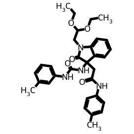 CCOC(CN1C(=O)C(CC(=O)Nc2ccc(C)cc2)(NC(=O)Nc2cccc(C)c2)c2ccccc21)OCC